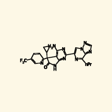 CCCc1nc(-c2nc(N)c3c(n2)NC(=O)C3(c2ccc(C(F)(F)F)cn2)C2CC2)cn2ncnc12